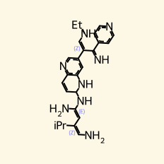 CCN/C=C(\C(=N)c1ccncc1)c1cnc2c(c1)NC(N/C(N)=C/C(=C\N)C(C)C)C=C2